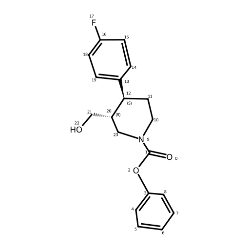 O=C(Oc1ccccc1)N1CC[C@H](c2ccc(F)cc2)[C@@H](CO)C1